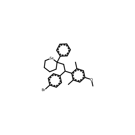 COc1cc(C)c(C(CC2(c3ccccc3)CCCC[Se]2)c2ccc(Br)cc2)c(C)c1